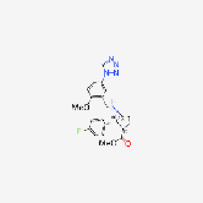 COC(=O)[C@@H]1CC[C@H](NCc2cc(-n3cnnn3)ccc2OC)[C@H]1c1ccc(F)cc1